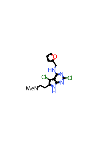 CNCCc1[nH]c2nc(Cl)nc(NCc3ccco3)c2c1Cl